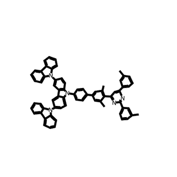 Cc1cccc(-c2cc(-c3c(C)cc(-c4ccc(-n5c6ccc(-n7c8ccccc8c8ccccc87)cc6c6cc(-n7c8ccccc8c8ccccc87)ccc65)cc4)cc3C)nc(-c3cccc(C)c3)n2)c1